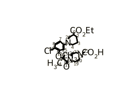 CCOC(=O)[C@@H]1CCCN(c2ccc(Cl)c(OC(C)(C)C(=O)N3CCN(C(=O)O)CC3)c2)C1